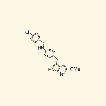 COc1cnc2[nH]cc(Cc3ccc(NCc4ccc(Cl)nc4)nc3)c2c1